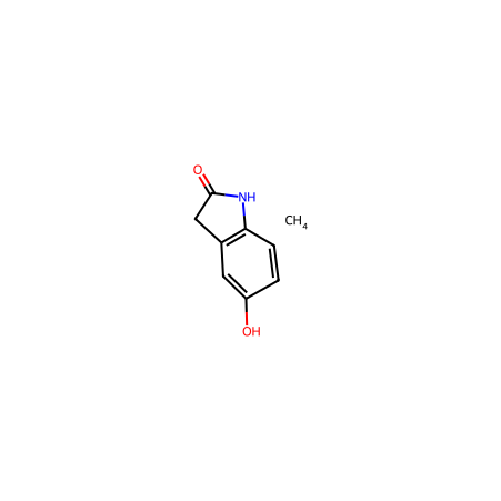 C.O=C1Cc2cc(O)ccc2N1